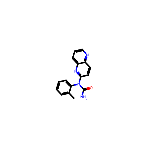 Cc1ccccc1N(C(N)=O)c1ccc2ncccc2n1